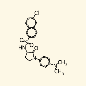 CN(C)c1ccc(N2CCC(NS(=O)(=O)c3ccc4cc(Cl)ccc4c3)C2=O)cc1